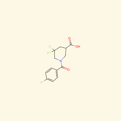 O=C(O)C1CN(C(=O)c2ccc(F)cc2)CC(F)(F)C1